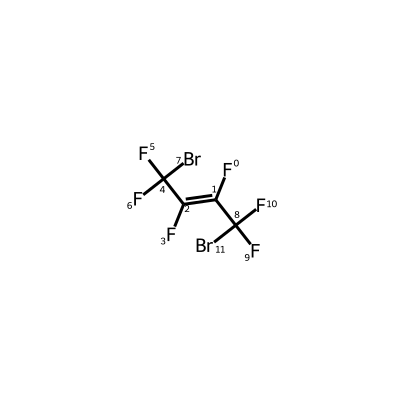 FC(=C(F)C(F)(F)Br)C(F)(F)Br